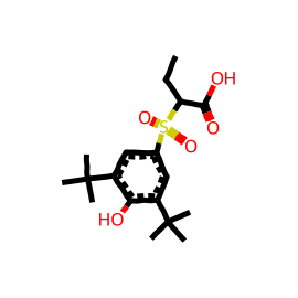 CCC(C(=O)O)S(=O)(=O)c1cc(C(C)(C)C)c(O)c(C(C)(C)C)c1